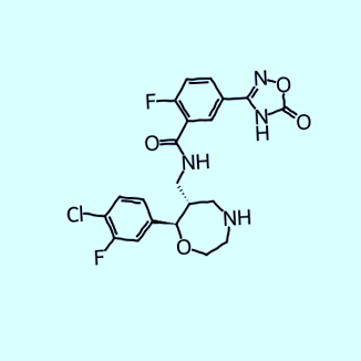 O=C(NC[C@@H]1CNCCO[C@H]1c1ccc(Cl)c(F)c1)c1cc(-c2noc(=O)[nH]2)ccc1F